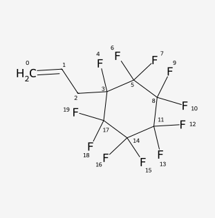 C=CCC1(F)C(F)(F)C(F)(F)C(F)(F)C(F)(F)C1(F)F